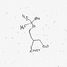 CC(C)(C)[Si](C)(C)OCC(CC=O)CC=O